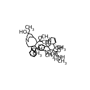 C=C(OC)[C@]1(c2cc3c(cc2OC)N(C)[C@H]2[C@@](O)(C(=O)NNC)[C@H](O)[C@]4(CC)C=CCN5CC[C@]32[C@@H]54)CC2CN(CCc3c1[nH]c1ccccc31)C[C@](O)(CC)C2